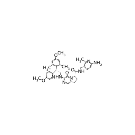 COc1ccc([C@@H](CNc2ncc3n(c2=O)[C@H](C(=O)NCc2ccc(N)nc2C)CC3)c2c(C)cc(OC)cc2C)nc1